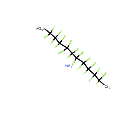 N.O=S(=O)(O)C(F)(F)C(F)(F)C(F)(F)C(F)(F)C(F)(F)C(F)(F)C(F)(F)C(F)(F)C(F)(F)C(F)(F)C(F)(F)F